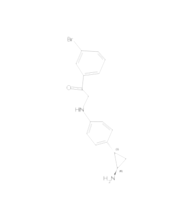 N[C@@H]1C[C@H]1c1ccc(NCC(=O)c2cccc(Br)c2)cc1